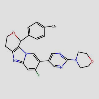 N#Cc1ccc(C2OCCc3nc4cc(F)c(-c5cnc(N6CCOCC6)nc5)cn4c32)cc1